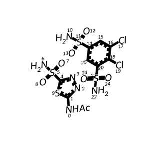 CC(=O)Nc1nnc(S(N)(=O)=O)s1.NS(=O)(=O)c1cc(Cl)c(Cl)c(S(N)(=O)=O)c1